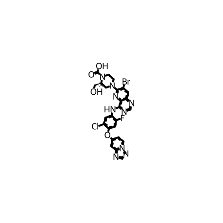 O=C(O)N1CCN(c2nc3c(Nc4cc(Cl)c(Oc5ccn6ncnc6c5)cc4F)ncnc3cc2Br)C[C@H]1CO